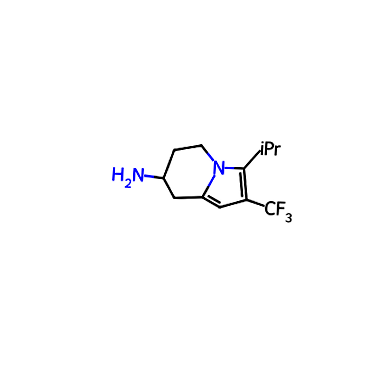 CC(C)c1c(C(F)(F)F)cc2n1CCC(N)C2